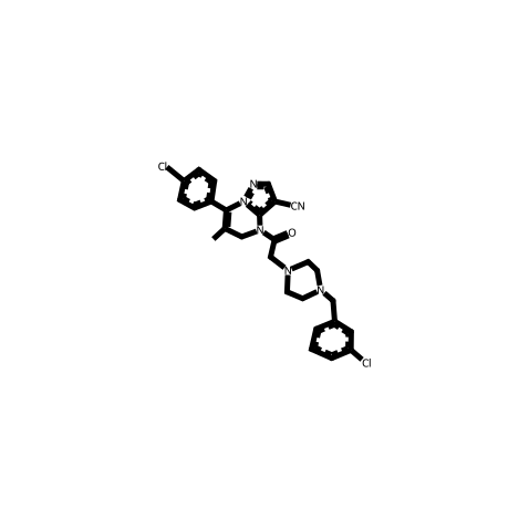 CC1=C(c2ccc(Cl)cc2)n2ncc(C#N)c2N(C(=O)CN2CCN(Cc3cccc(Cl)c3)CC2)C1